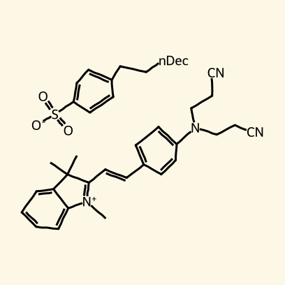 CCCCCCCCCCCCc1ccc(S(=O)(=O)[O-])cc1.C[N+]1=C(/C=C/c2ccc(N(CCC#N)CCC#N)cc2)C(C)(C)c2ccccc21